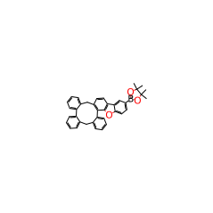 CC1(C)OB(c2ccc3oc4c5c(ccc4c3c2)Cc2ccccc2-c2ccccc2Cc2ccccc2-5)OC1(C)C